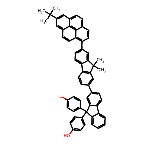 CC(C)(C)c1cc2ccc3ccc(-c4ccc5c(c4)C(C)(C)c4cc(-c6ccc7c(c6)C(c6ccc(O)cc6)(c6ccc(O)cc6)c6ccccc6-7)ccc4-5)c4ccc(c1)c2c34